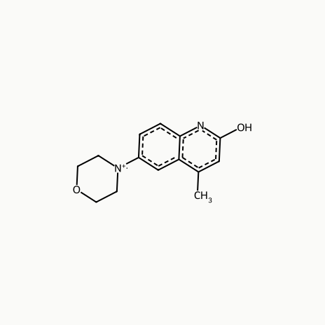 Cc1cc(O)nc2ccc([N+]3CCOCC3)cc12